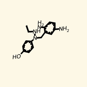 CCNN(Cc1cc(N)ccc1N)c1ccc(O)cc1